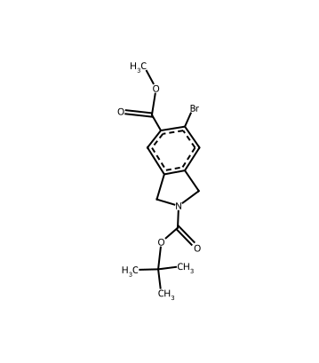 COC(=O)c1cc2c(cc1Br)CN(C(=O)OC(C)(C)C)C2